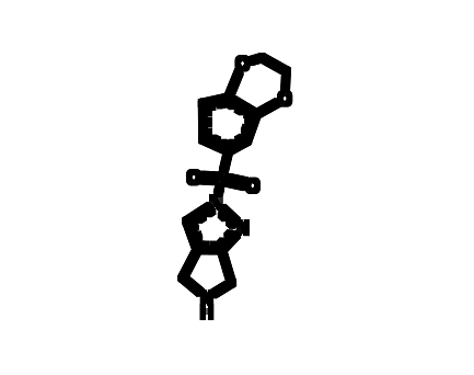 O=S(=O)(c1ccc2c(c1)OCCO2)n1cc2c(n1)CNC2